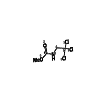 [CH2]OC(=O)NCC(Cl)(Cl)Cl